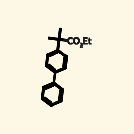 CCOC(=O)C(C)(C)c1ccc(-c2ccccc2)cc1